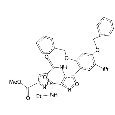 CCNC(=O)c1noc(-c2cc(C(C)C)c(OCc3ccccc3)cc2OCc2ccccc2)c1NC(=O)c1cc(C(=O)OC)no1